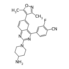 Cc1noc(C)c1-c1ccc2nc(N3CCC(N)CC3)nc(-c3ccc(C#N)c(F)c3)c2c1